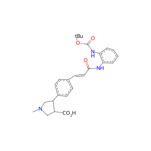 CN1CC(C(=O)O)C(c2ccc(/C=C/C(=O)Nc3ccccc3NC(=O)OC(C)(C)C)cc2)C1